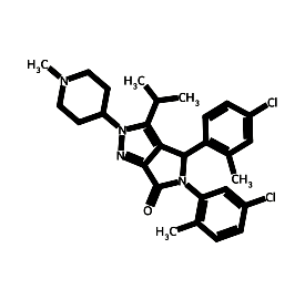 Cc1cc(Cl)ccc1C1c2c(nn(C3CCN(C)CC3)c2C(C)C)C(=O)N1c1cc(Cl)ccc1C